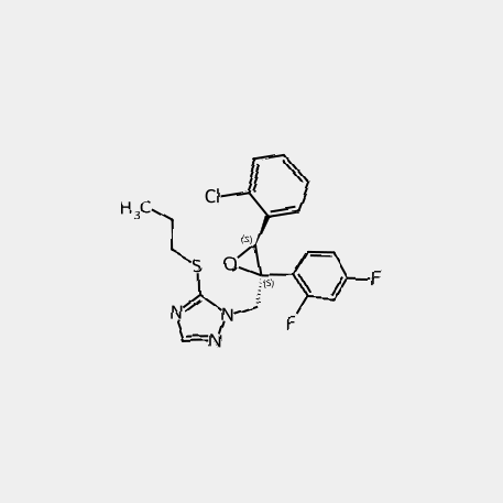 CCCSc1ncnn1C[C@]1(c2ccc(F)cc2F)O[C@H]1c1ccccc1Cl